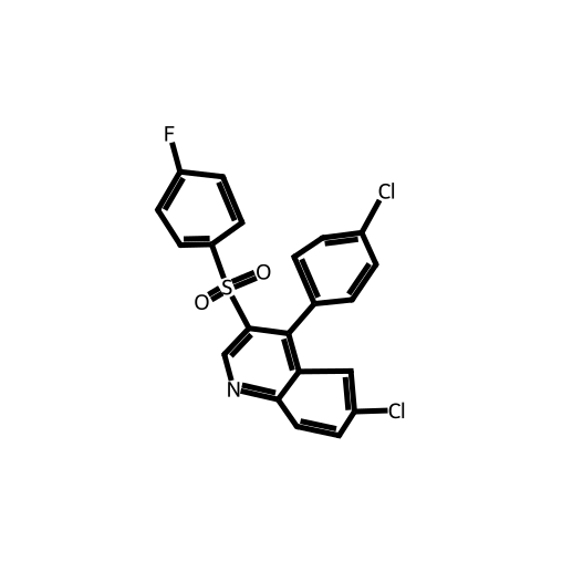 O=S(=O)(c1ccc(F)cc1)c1cnc2ccc(Cl)cc2c1-c1ccc(Cl)cc1